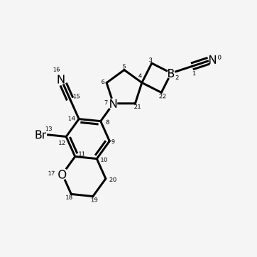 N#CB1CC2(CCN(c3cc4c(c(Br)c3C#N)OCCC4)C2)C1